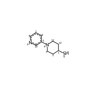 SC1CCN(c2cccnc2)CC1